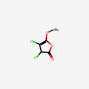 CCCCOC1=C(Cl)C(Cl)C(=O)O1